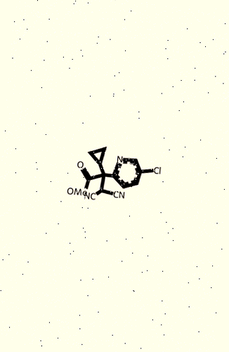 COC(=O)C(c1ccc(Cl)cn1)(C(C#N)C#N)C1CC1